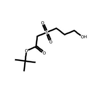 CC(C)(C)OC(=O)CS(=O)(=O)CCCO